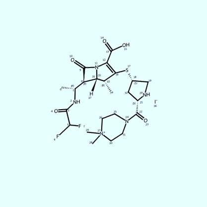 C[C@@H](NC(=O)C(F)F)[C@H]1C(=O)N2C(C(=O)O)=C(S[C@@H]3CN[C@H](C(=O)N4CC[N+](C)(C)CC4)C3)[C@H](C)[C@H]12.[I-]